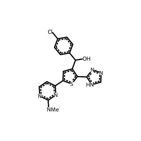 CNc1nccc(-c2cc(C(O)c3ccc(Cl)cc3)c(-c3nnc[nH]3)s2)n1